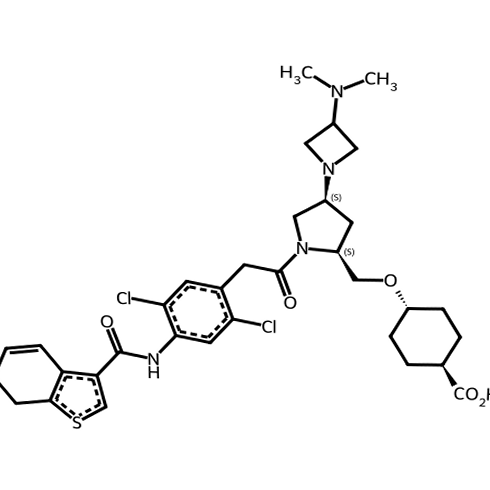 CN(C)C1CN([C@H]2C[C@@H](CO[C@H]3CC[C@H](C(=O)O)CC3)N(C(=O)Cc3cc(Cl)c(NC(=O)c4csc5c4C=CCC5)cc3Cl)C2)C1